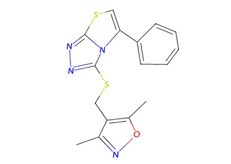 Cc1noc(C)c1CSc1nnc2scc(-c3ccccc3)n12